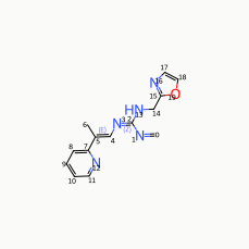 C=N/C(=N\C=C(/C)c1ccccn1)NCc1ncco1